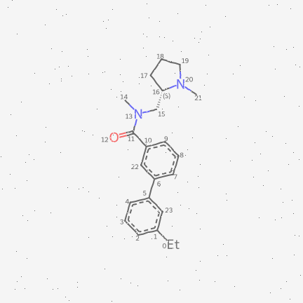 CCc1cccc(-c2cccc(C(=O)N(C)C[C@@H]3CCCN3C)c2)c1